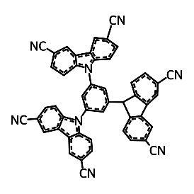 N#Cc1ccc2c(c1)-c1cc(C#N)ccc1C2c1cc(-n2c3ccc(C#N)cc3c3cc(C#N)ccc32)cc(-n2c3ccc(C#N)cc3c3cc(C#N)ccc32)c1